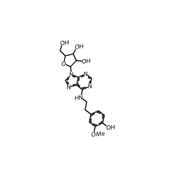 COc1cc(CCNc2ncnc3c2ncn3C2OC(CO)C(O)C2O)ccc1O